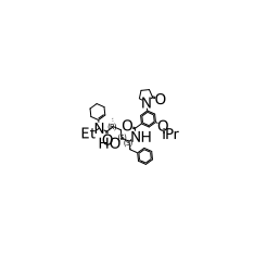 CCN(C(=O)[C@H](C)C[C@H](O)[C@H](Cc1ccccc1)NC(=O)c1cc(OC(C)C)cc(N2CCCC2=O)c1)C1=CCCCC1